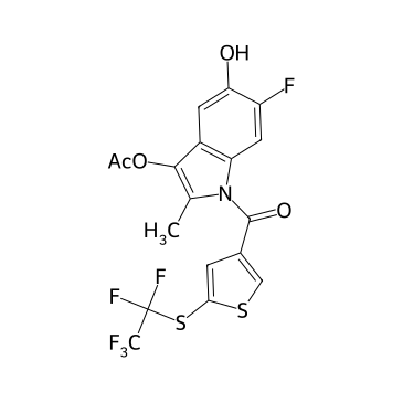 CC(=O)Oc1c(C)n(C(=O)c2csc(SC(F)(F)C(F)(F)F)c2)c2cc(F)c(O)cc12